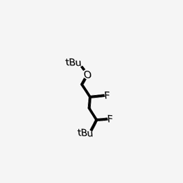 CC(C)(C)OCC(F)CC(F)C(C)(C)C